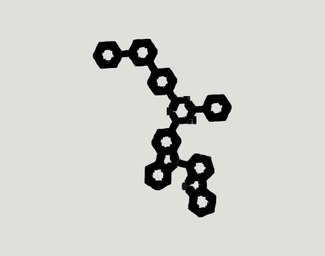 c1ccc(C2=NC(c3ccc(-c4cccc(-c5ccccc5)c4)cc3)=NC(c3ccc4c5ccccc5n(-c5cccc6c5oc5ccccc56)c4c3)N2)cc1